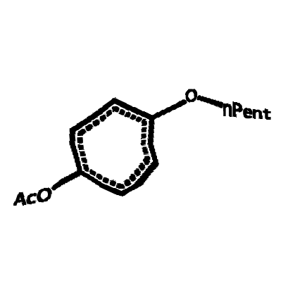 CCCCCOc1ccc(OC(C)=O)cc1